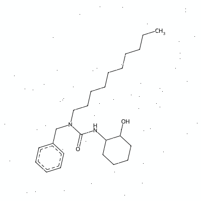 CCCCCCCCCCN(Cc1ccccc1)C(=O)NC1CCCCC1O